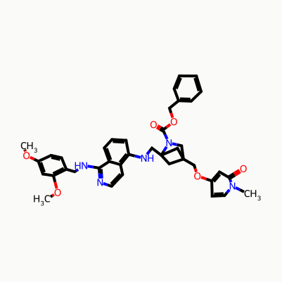 COc1ccc(CNc2nccc3c(NCC45CC(COc6ccn(C)c(=O)c6)(CN4C(=O)OCc4ccccc4)C5)cccc23)c(OC)c1